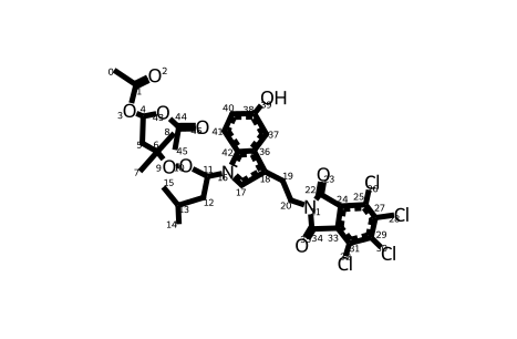 CC(=O)OC(CC(C)(C)OOC(CC(C)C)n1cc(CCN2C(=O)c3c(Cl)c(Cl)c(Cl)c(Cl)c3C2=O)c2cc(O)ccc21)OC(C)=O